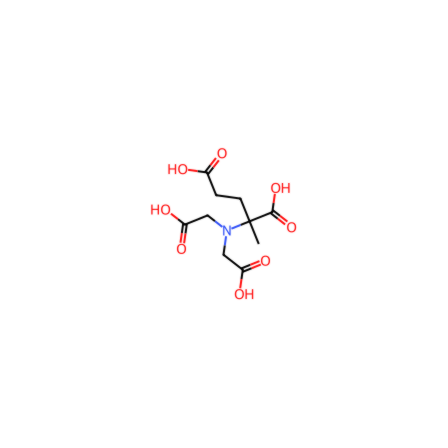 CC(CCC(=O)O)(C(=O)O)N(CC(=O)O)CC(=O)O